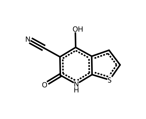 N#Cc1c(O)c2ccsc2[nH]c1=O